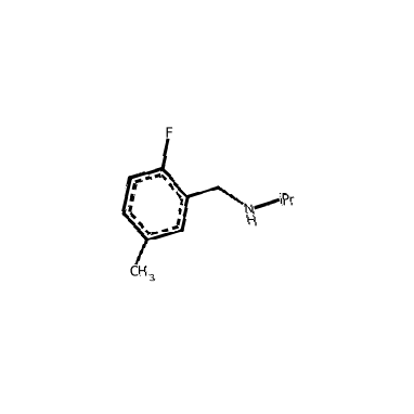 Cc1ccc(F)c(CNC(C)C)c1